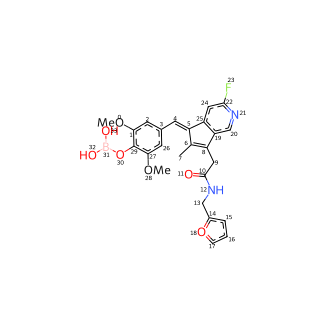 COc1cc(C=C2C(C)=C(CC(=O)NCc3ccco3)c3cnc(F)cc32)cc(OC)c1OB(O)O